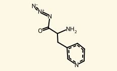 [N-]=[N+]=NC(=O)C(N)Cc1cccnc1